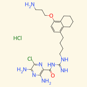 Cl.N=C(NCCCCc1ccc(OCCCN)c2c1CCCC2)NC(=O)c1nc(Cl)c(N)nc1N